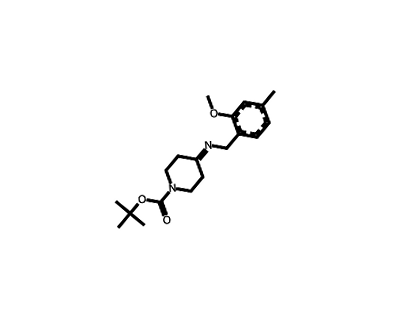 COc1cc(C)ccc1CN=C1CCN(C(=O)OC(C)(C)C)CC1